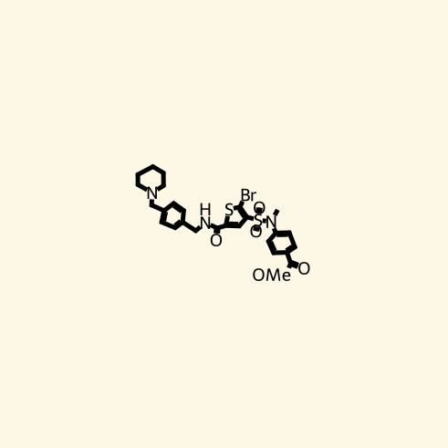 COC(=O)c1ccc(N(C)S(=O)(=O)c2cc(C(=O)NCc3ccc(CN4CCCCC4)cc3)sc2Br)cc1